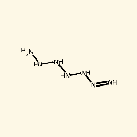 N=NNNNNN